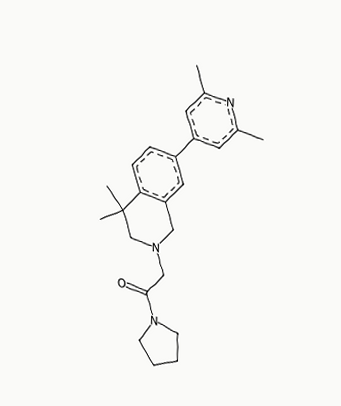 Cc1cc(-c2ccc3c(c2)CN(CC(=O)N2CCCC2)CC3(C)C)cc(C)n1